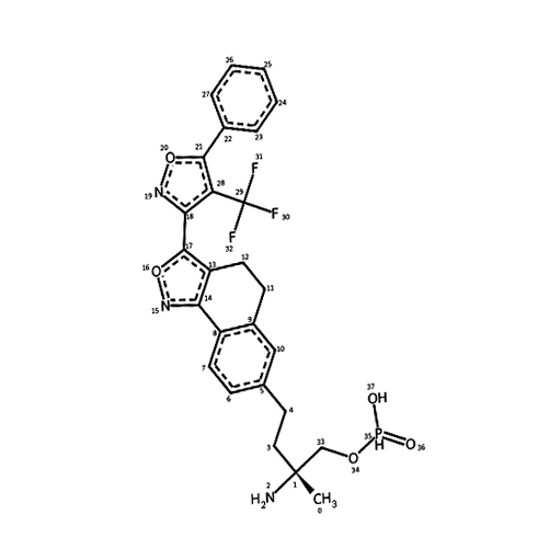 C[C@@](N)(CCc1ccc2c(c1)CCc1c-2noc1-c1noc(-c2ccccc2)c1C(F)(F)F)CO[PH](=O)O